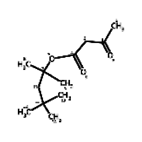 CC(=O)CC(=O)OC(C)(C)CC(C)(C)C